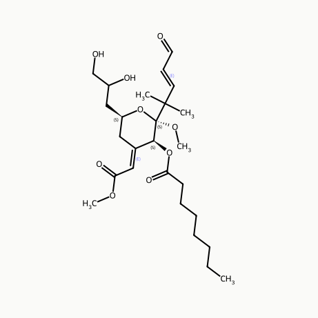 CCCCCCCC(=O)O[C@H]1/C(=C/C(=O)OC)C[C@@H](CC(O)CO)O[C@@]1(OC)C(C)(C)/C=C/C=O